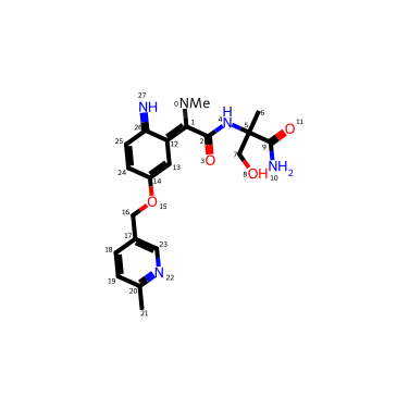 CN/C(C(=O)NC(C)(CO)C(N)=O)=C1/C=C(OCc2ccc(C)nc2)C=CC1=N